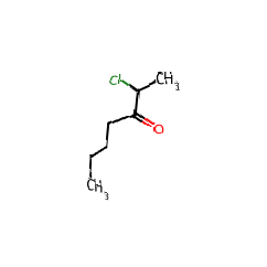 CCCCC(=O)C(C)Cl